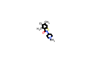 CCc1c(C)cc2sn(C3CCN(C)CC3)c(=O)c2c1C